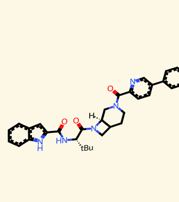 CC(C)(C)[C@H](NC(=O)c1cc2ccccc2[nH]1)C(=O)N1CC2CCN(C(=O)c3ccc(-c4ccccc4)cn3)C[C@@H]21